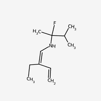 C=C/C(=C\NC(C)(F)C(C)C)CC